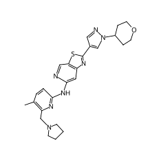 Cc1ccc(Nc2cc3nc(-c4cnn(C5CCOCC5)c4)sc3cn2)nc1CN1CCCC1